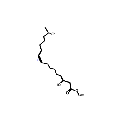 CCOC(=O)CC(O)CCCCC/C=C\CCCCC(C)O